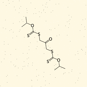 CC(C)OC(=S)SCC(=O)CSC(=S)OC(C)C